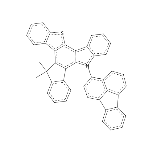 CC1(C)c2ccccc2-c2c1c1c3ccccc3sc1c1c3ccccc3n(-c3ccc4c5c(cccc35)-c3ccccc3-4)c21